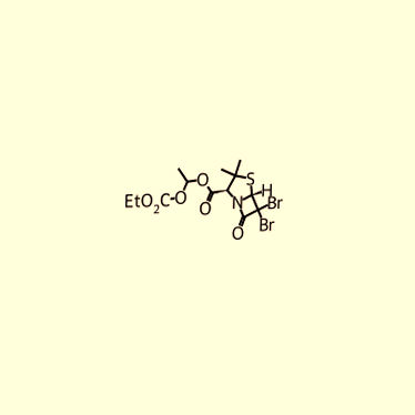 CCOC(=O)OC(C)OC(=O)[C@@H]1N2C(=O)C(Br)(Br)[C@H]2SC1(C)C